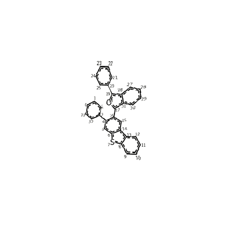 c1ccc(-c2cc3sc4ccccc4c3cc2-c2oc(-c3ccccc3)c3ccccc23)cc1